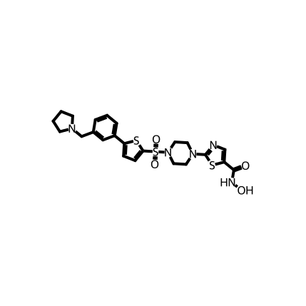 O=C(NO)c1cnc(N2CCN(S(=O)(=O)c3ccc(-c4cccc(CN5CCCC5)c4)s3)CC2)s1